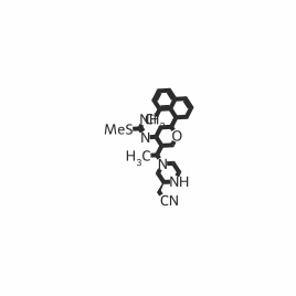 CS/C(N)=N/C1CC(C2CC=Cc3cccc(Cl)c32)OCC1C(C)N1CCN[C@@H](CC#N)C1